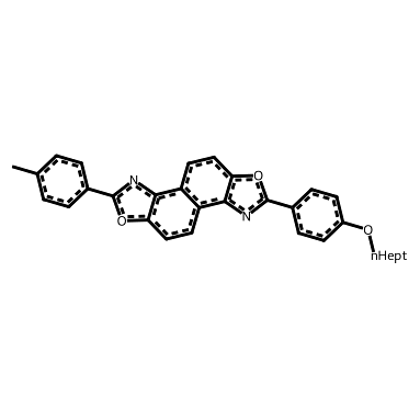 CCCCCCCOc1ccc(-c2nc3c(ccc4c3ccc3oc(-c5ccc(C)cc5)nc34)o2)cc1